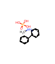 CN.O=P(O)(O)O.c1ccc(-c2ccccc2)cc1